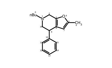 CCCCN1Cc2oc(C)cc2C(c2ccccc2)C1